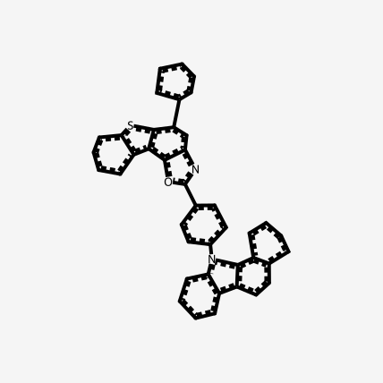 c1ccc(-c2cc3nc(-c4ccc(-n5c6ccccc6c6ccc7ccccc7c65)cc4)oc3c3c2sc2ccccc23)cc1